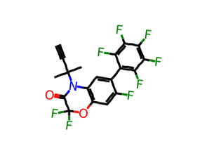 C#CC(C)(C)N1C(=O)C(F)(F)Oc2cc(F)c(-c3c(F)c(F)c(F)c(F)c3F)cc21